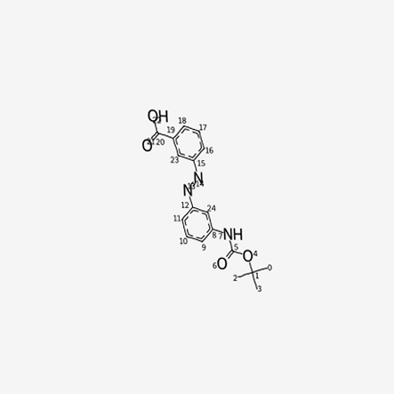 CC(C)(C)OC(=O)Nc1cccc(N=Nc2cccc(C(=O)O)c2)c1